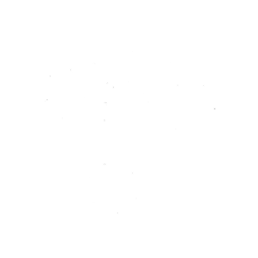 C(#CC1(C#Cc2ccccc2)C2CC3CC(C2)CC1(c1ccccc1)C3)c1ccccc1